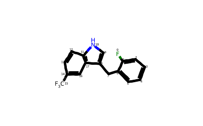 Fc1ccccc1Cc1c[nH]c2ccc(C(F)(F)F)cc12